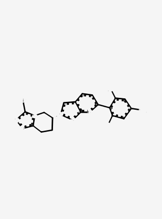 Cc1cc(C(F)(F)F)cc(O)c1-c1ccc2cn([C@@H]3CCc4nnc(C(C)C)n4C3)nc2n1